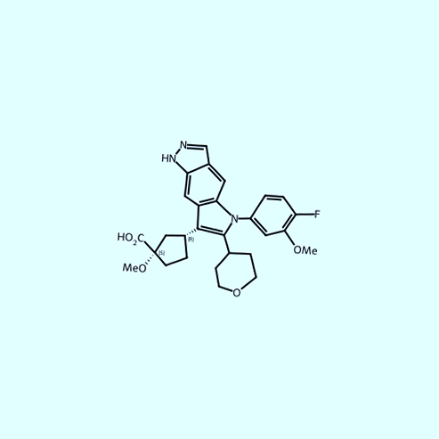 COc1cc(-n2c(C3CCOCC3)c([C@@H]3CC[C@@](OC)(C(=O)O)C3)c3cc4[nH]ncc4cc32)ccc1F